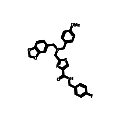 COc1ccc(CN(Cc2ccc3c(c2)OCO3)Cc2nc(C(=O)NCc3ccc(F)cc3)cs2)cc1